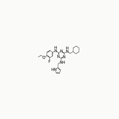 CCOc1ccc(Nc2nc(NCc3ccc[nH]3)nc(NCC3CCCCC3)n2)cc1F